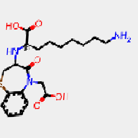 NCCCCCCC[C@@H](NC1CSc2ccccc2N(CC(=O)O)C1=O)C(=O)O